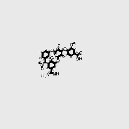 COc1cc(C(=O)O)ccc1Oc1c(F)c(Oc2cccc(CN(C)C)c2)nc(Oc2cc(C(=N)N)ccc2O)c1F